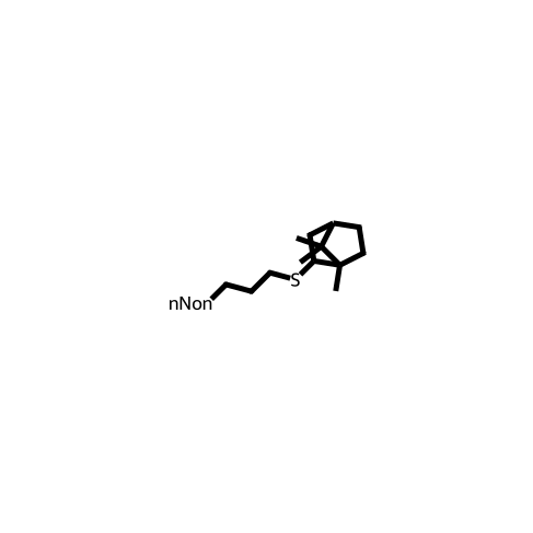 CCCCCCCCCCCCSC1CC2CCC1(C)C2(C)C